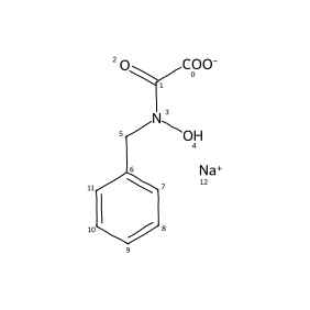 O=C([O-])C(=O)N(O)Cc1ccccc1.[Na+]